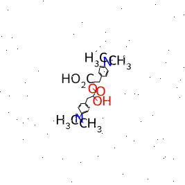 CN(C)c1ccc(CC(O)C(=O)OC(Cc2ccc(N(C)C)cc2)C(=O)O)cc1